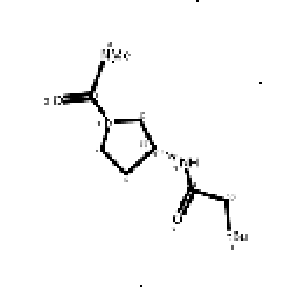 CNC(=O)N1CC[C@@H](NC(=O)CC(C)(C)C)C1